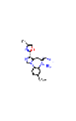 COc1ccc2c(c1)N(N)/C(=C\N)Cc1c(-c3nc(C(C)C)co3)ncn1-2